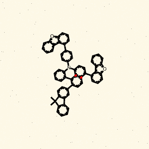 CC1(C)c2ccccc2-c2cc(-c3ccccc3-c3ccccc3N(c3ccc(-c4cccc5oc6ccccc6c45)cc3)c3ccc(-c4cccc5oc6ccccc6c45)cc3)ccc21